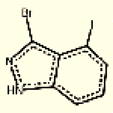 Brc1n[nH]c2cccc(I)c12